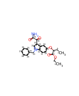 CCOC(=O)C(CC)Oc1ccc2c(c1)c(C(=O)C(N)=O)cn2Cc1ccccc1